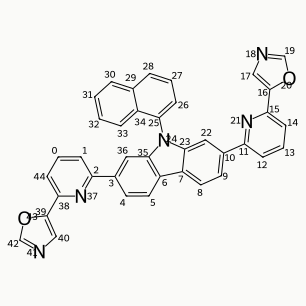 c1cc(-c2ccc3c4ccc(-c5cccc(-c6cnco6)n5)cc4n(-c4cccc5ccccc45)c3c2)nc(-c2cnco2)c1